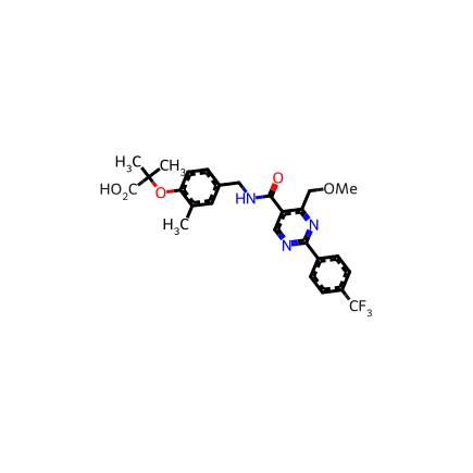 COCc1nc(-c2ccc(C(F)(F)F)cc2)ncc1C(=O)NCc1ccc(OC(C)(C)C(=O)O)c(C)c1